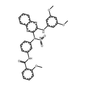 COc1cc(Nc2nc3ccccc3nc2N(c2cccc(NC(=O)c3ccccc3OC)c2)[SH](=O)=O)cc(OC)c1